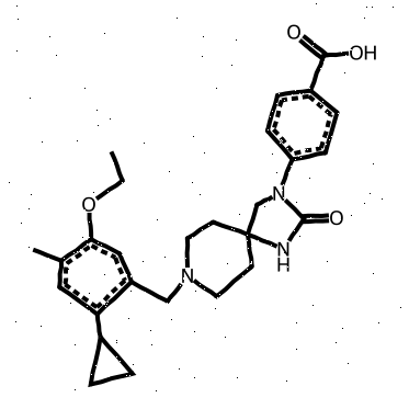 CCOc1cc(CN2CCC3(CC2)CN(c2ccc(C(=O)O)cc2)C(=O)N3)c(C2CC2)cc1C